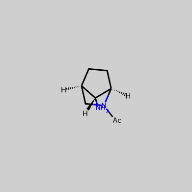 CC(=O)N1C[C@H]2CC[C@@H]1[C@@H]2N